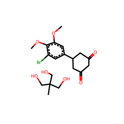 CC(CO)(CO)CO.COc1cc(C2CC(=O)CC(=O)C2)cc(Br)c1OC